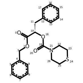 O=C(OCc1ccccc1)[C@H](Cc1ccccc1)OC(=O)N1CCSCC1